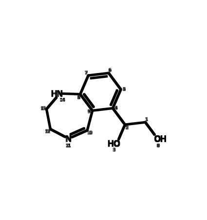 OCC(O)c1cccc2c1C=NCCN2